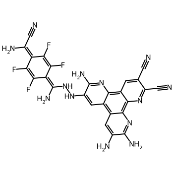 N#CC(N)=c1c(F)c(F)c(=C(N)NNc2cc3c4cc(N)c(N)nc4c4nc(C#N)c(C#N)cc4c3nc2N)c(F)c1F